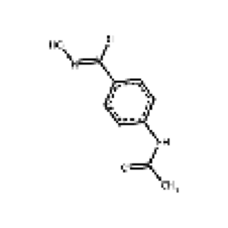 CC(=O)Nc1ccc(/C(Cl)=N/O)cc1